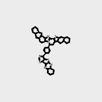 c1ccc2cc3c(ccc4c3nc3c5sc6cc7ccccc7cc6c5cc(-c5ccc(-c6ncnc7c6sc6nc8ccccc8nc67)cc5)n43)cc2c1